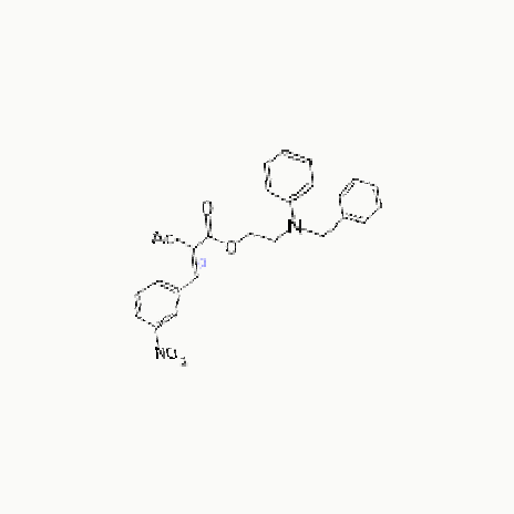 CC(=O)/C(=C\c1cccc([N+](=O)[O-])c1)C(=O)OCCN(Cc1ccccc1)c1ccccc1